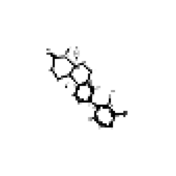 CN1C(=O)CC[C@]2(C)c3ccc(-c4cccc(F)c4F)cc3CC[C@@H]12